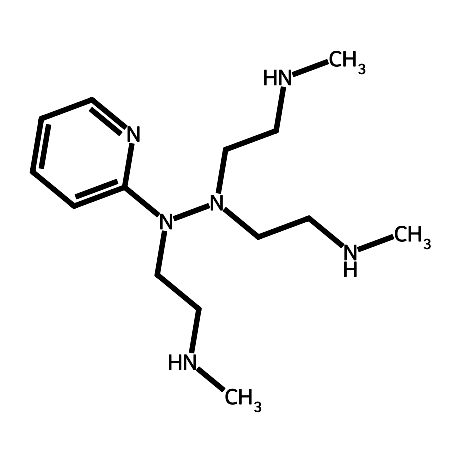 CNCCN(CCNC)N(CCNC)c1ccccn1